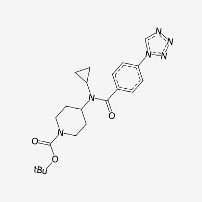 CC(C)(C)OC(=O)N1CCC(N(C(=O)c2ccc(-n3cnnn3)cc2)C2CC2)CC1